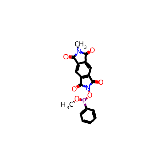 COP(On1c(=O)c2cc3c(=O)n(C)c(=O)c3cc2c1=O)c1ccccc1